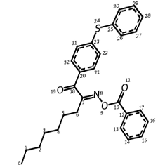 CCCCCCC/C(=N\OC(=O)c1ccccc1)C(=O)c1ccc(Sc2ccccc2)cc1